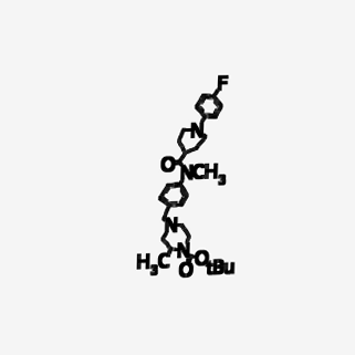 C[C@H]1CN(Cc2ccc(N(C)C(=O)C3CCN(c4ccc(F)cc4)CC3)cc2)CCN1C(=O)OC(C)(C)C